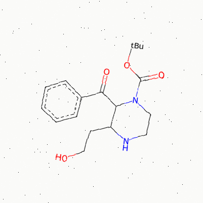 CC(C)(C)OC(=O)N1CCNC(CCO)C1C(=O)c1ccccc1